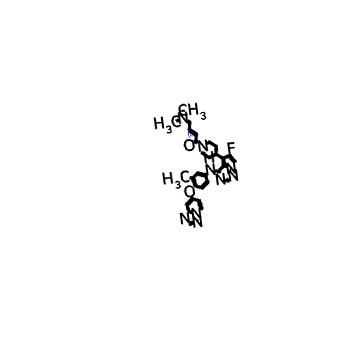 Cc1cc(Nc2ncnn3cc(F)c(C4CCN(C(=O)/C=C/CN(C)C)CC4)c23)ccc1Oc1ccn2ncnc2c1